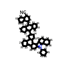 N#Cc1ccc(-c2c3ccccc3c(-c3ccc4c(c3)c3ccccc3c3ccc5c(c6ccc7ccccc7c6n5-c5ccccc5)c34)c3ccccc23)c2ccccc12